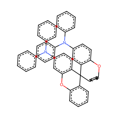 c1ccc(N(c2ccccc2)c2ccc3c(c2)Oc2ccccc2C32c3ccccc3Oc3ccc(N(c4ccccc4)c4ccccc4)cc32)cc1